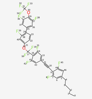 CCCCCc1cc(F)c(C#Cc2cc(F)c(C(F)(F)Oc3ccc(-c4cc(F)c(OC(F)(F)F)c(F)c4)c(F)c3)c(F)c2)c(F)c1